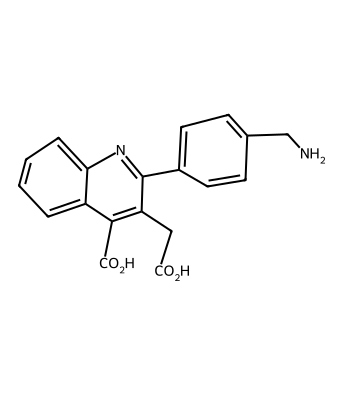 NCc1ccc(-c2nc3ccccc3c(C(=O)O)c2CC(=O)O)cc1